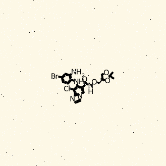 CC1(C)OC[C@H](CONC(=O)c2cn3ccnc3c(Cl)c2Nc2ccc(Br)cc2N)O1